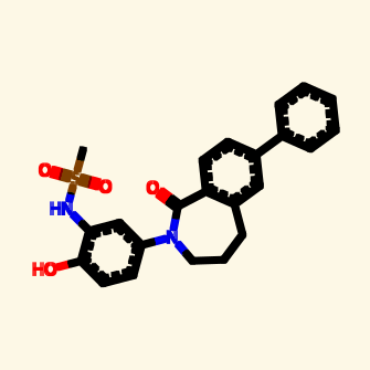 CS(=O)(=O)Nc1cc(N2CCCc3cc(-c4ccccc4)ccc3C2=O)ccc1O